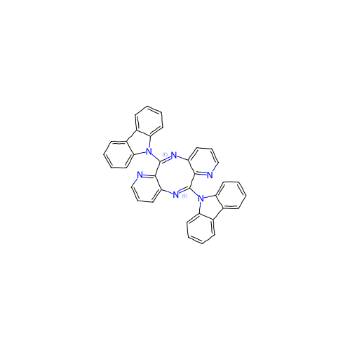 c1cnc2c(c1)/N=C(/n1c3ccccc3c3ccccc31)c1ncccc1/N=C\2n1c2ccccc2c2ccccc21